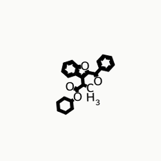 CC(C(=O)OC1CCCCC1)c1c(C(=O)c2ccccc2)oc2ccccc12